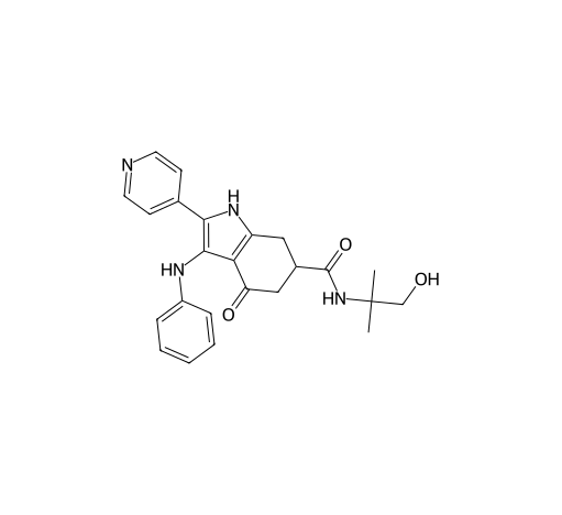 CC(C)(CO)NC(=O)C1CC(=O)c2c([nH]c(-c3ccncc3)c2Nc2ccccc2)C1